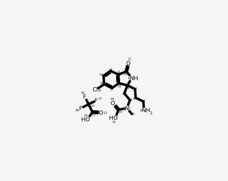 CN(CCC1(CCCN)NC(=O)c2ccc(Cl)cc21)C(=O)O.O=C(O)C(F)(F)F